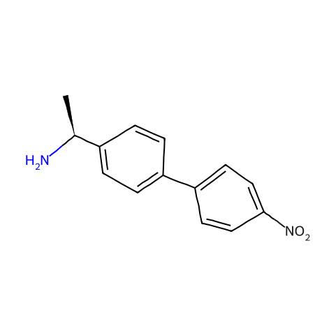 C[C@H](N)c1ccc(-c2ccc([N+](=O)[O-])cc2)cc1